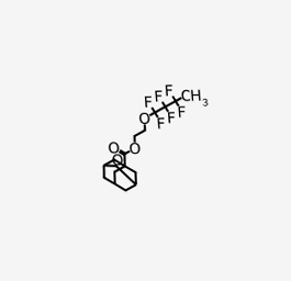 CC(F)(F)C(F)(F)C(F)(F)OCCOC(=O)C12CC3CC(C1)C(=O)C(C3)C2